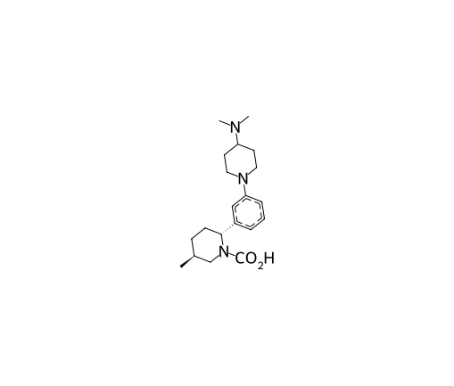 C[C@H]1CC[C@H](c2cccc(N3CCC(N(C)C)CC3)c2)N(C(=O)O)C1